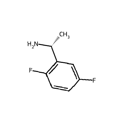 C[C@@H](N)c1cc(F)ccc1F